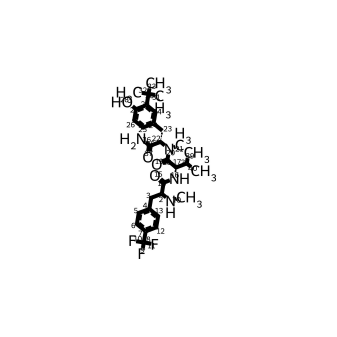 CNC(Cc1ccc(C(F)(F)F)cc1)C(=O)N[C@H](C(=O)N(C)[C@@H](Cc1ccc(O)c(C(C)(C)C)c1)C(N)=O)C(C)C